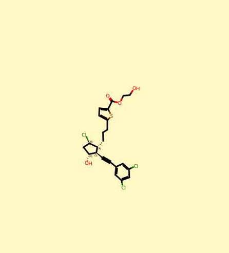 O=C(OCCO)c1ccc(CCC[C@@H]2[C@@H](C#Cc3cc(Cl)cc(Cl)c3)[C@H](O)C[C@H]2Cl)s1